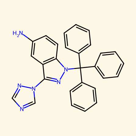 Nc1ccc2c(c1)c(-n1cncn1)nn2C(c1ccccc1)(c1ccccc1)c1ccccc1